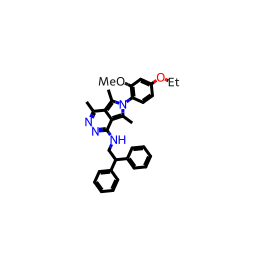 CCOc1ccc(-n2c(C)c3c(C)nnc(NCC(c4ccccc4)c4ccccc4)c3c2C)c(OC)c1